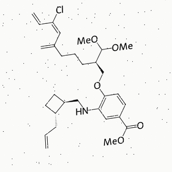 C=CC[C@@H]1CC[C@H]1CNc1cc(C(=O)OC)ccc1OC[C@@H](CCCC(=C)/C=C(/Cl)C=C)C(OC)OC